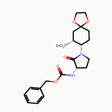 CCOC(=O)[C@@H]1CC2(CC[C@@H]1N1CC[C@H](NC(=O)OCc3ccccc3)C1=O)OCCO2